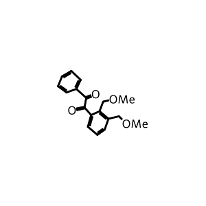 COCc1cccc(C(=O)C(=O)c2ccccc2)c1COC